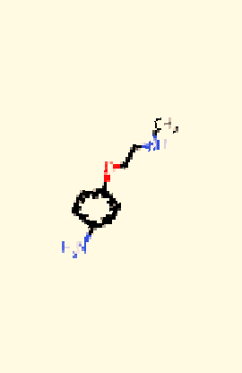 CNCCOc1ccc(N)cc1